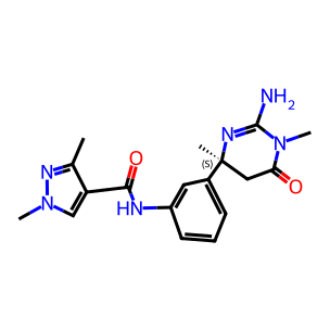 Cc1nn(C)cc1C(=O)Nc1cccc([C@]2(C)CC(=O)N(C)C(N)=N2)c1